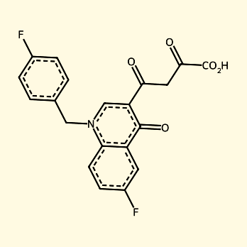 O=C(O)C(=O)CC(=O)c1cn(Cc2ccc(F)cc2)c2ccc(F)cc2c1=O